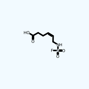 O=C(O)CC/C=C\CNS(=O)(=O)F